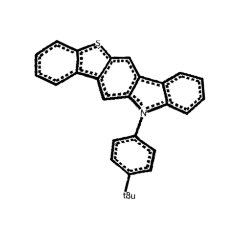 CC(C)(C)c1ccc(-n2c3ccccc3c3cc4sc5ccccc5c4cc32)cc1